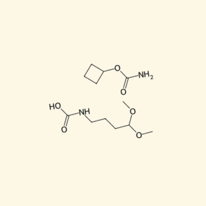 COC(CCCNC(=O)O)OC.NC(=O)OC1CCC1